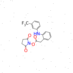 O=C(Cc1ccccc1Nc1cccc(C(F)(F)F)c1)ON1C(=O)CCC1=O